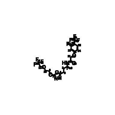 C=C(CCc1nnc(OCCOCC(F)(F)F)o1)NC(=O)COc1ccc(C(F)(F)F)c(F)c1